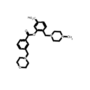 CN1CCN(Cc2ccc(C(=O)O)cc2OC(=O)c2cccc(CN3CCOCC3)c2)CC1